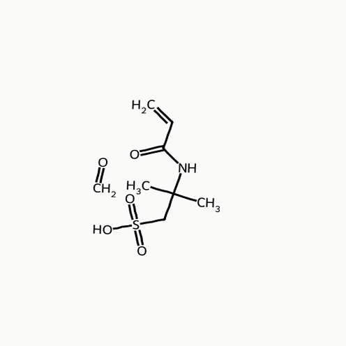 C=CC(=O)NC(C)(C)CS(=O)(=O)O.C=O